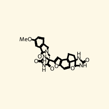 COc1ccc2c(c1)C(=O)N(C[C@@]1(c3cc4c5c(ccc4o3)C3(CC5)NC(=O)NC3=O)NC(=O)NC1=O)C2